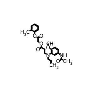 C=CCN(CCC(=O)OCC(=O)Oc1ccccc1C)c1cc(NC(C)=O)ccc1OC